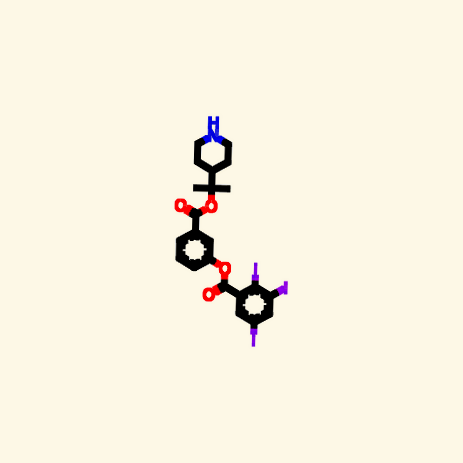 CC(C)(OC(=O)c1cccc(OC(=O)c2cc(I)cc(I)c2I)c1)C1CCNCC1